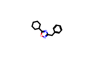 c1ccc(Cc2noc(C3CCCCC3)n2)cc1